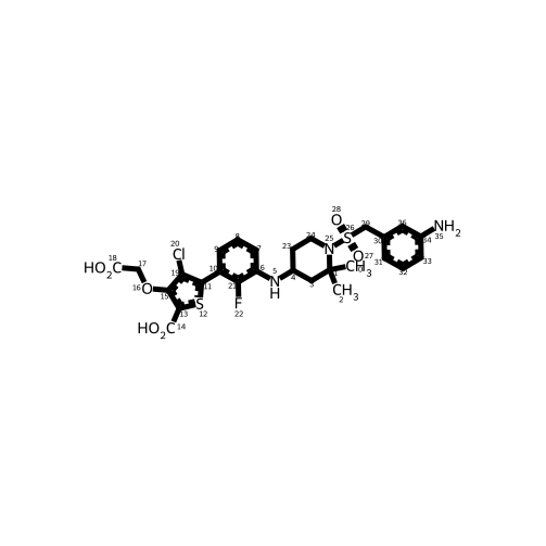 CC1(C)CC(Nc2cccc(-c3sc(C(=O)O)c(OCC(=O)O)c3Cl)c2F)CCN1S(=O)(=O)Cc1cccc(N)c1